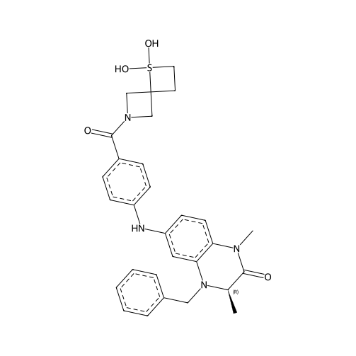 C[C@@H]1C(=O)N(C)c2ccc(Nc3ccc(C(=O)N4CC5(CCS5(O)O)C4)cc3)cc2N1Cc1ccccc1